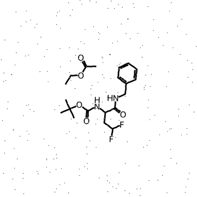 CC(C)(C)OC(=O)NC(CC(F)F)C(=O)NCc1ccccc1.CCOC(C)=O